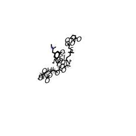 C/C=C(\C)Cc1cc(OC)c(Cl)c(N(C)C(=O)C[C@H](OC(=O)[C@H](C)N(C)C(=O)CCC(C)(C)SCC(=O)ON2C(=O)CCC2=O)C2(C)O[C@H]2[C@H](C)[C@@H]2C[C@](O)([C@@H](C)OC)NC(=O)O2)c1